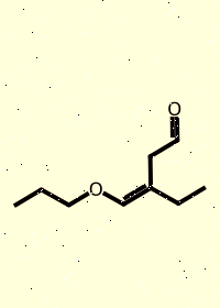 CCCOC=C(CC)CC=O